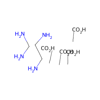 CC(=O)O.CC(=O)O.CC(=O)O.CC(=O)O.NCCN.NCN